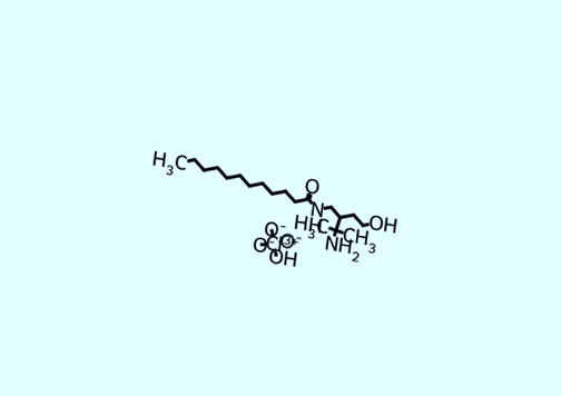 CCCCCCCCCCCC(=O)NCC(CCO)C(C)(C)N.[O-][Cl+3]([O-])([O-])O